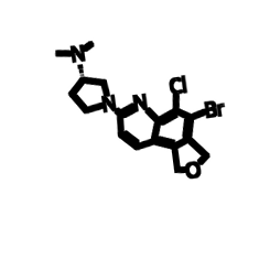 CN(C)[C@H]1CCN(c2ccc3c4c(c(Br)c(Cl)c3n2)COC4)C1